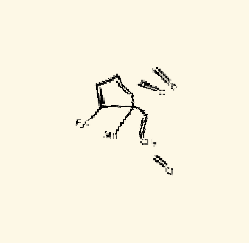 C=C[C]1([Mn])C=CC=C1C(F)(F)F.[C]=O.[C]=O.[C]=O